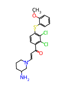 COc1ccccc1Sc1ccc(C(=O)C=CN2CCCC(N)C2)c(Cl)c1Cl